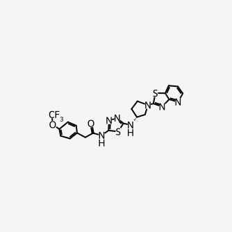 O=C(Cc1ccc(OC(F)(F)F)cc1)Nc1nnc(N[C@@H]2CCN(c3nc4ncccc4s3)C2)s1